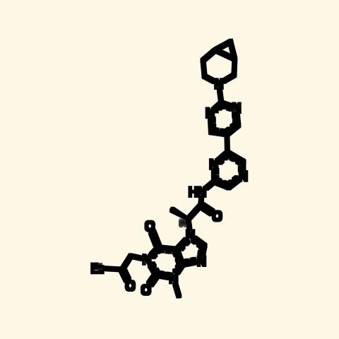 CCC(=O)Cn1c(=O)c2c(ncn2[C@@H](C)C(=O)Nc2cncc(-c3cnc(N4CCC5CC5C4)nc3)n2)n(C)c1=O